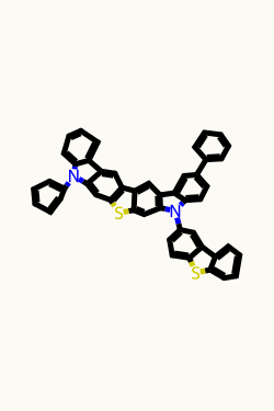 c1ccc(-c2ccc3c(c2)c2cc4c(cc2n3-c2ccc3sc5ccccc5c3c2)sc2cc3c(cc24)c2ccccc2n3-c2ccccc2)cc1